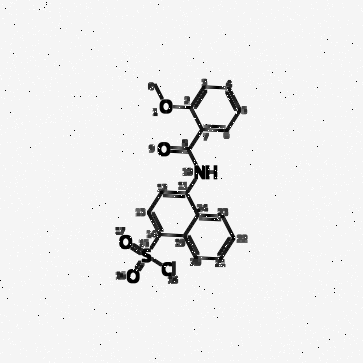 COc1ccccc1C(=O)Nc1ccc(S(=O)(=O)Cl)c2ccccc12